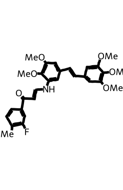 COc1ccc(C(=O)C=CNc2cc(C=Cc3cc(OC)c(OC)c(OC)c3)cc(OC)c2OC)cc1F